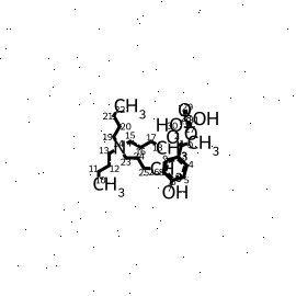 CC(=O)c1ccc(O)cc1.CCCC[N+](CCCC)(CCCC)CCCC.O=S(=O)(O)O